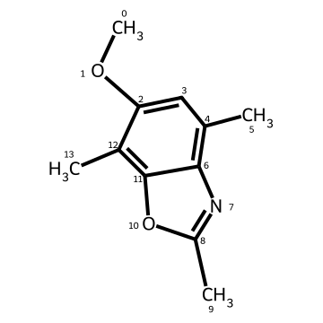 COc1cc(C)c2nc(C)oc2c1C